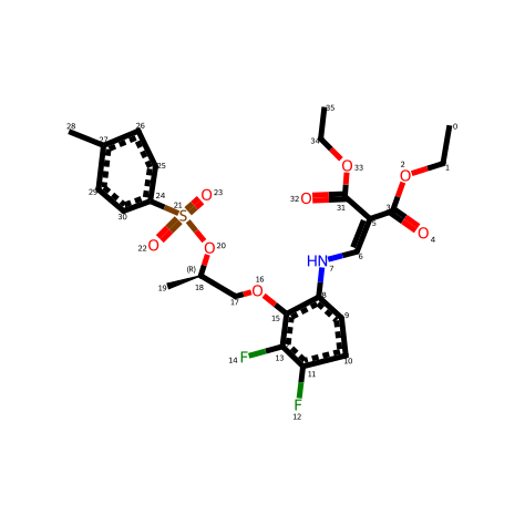 CCOC(=O)C(=CNc1ccc(F)c(F)c1OC[C@@H](C)OS(=O)(=O)c1ccc(C)cc1)C(=O)OCC